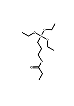 CCO[Si](CCCSC(=O)CC)(OCC)OCC